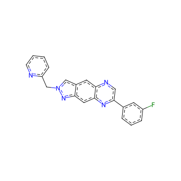 Fc1cccc(-c2cnc3cc4cn(Cc5ccccn5)nc4cc3n2)c1